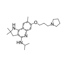 Cc1cc2c3c(c(NC(C)C)nc2cc1OCCCN1CCCC1)CC(C)(C)N3